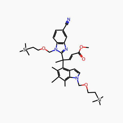 COC(=O)C=CC(C)(c1c(C)c(C)c(C)c2c1ccn2COCC[Si](C)(C)C)c1nc2cc(C#N)ccc2n1COCC[Si](C)(C)C